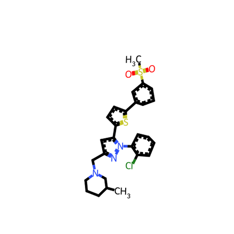 CC1CCCN(Cc2cc(-c3ccc(-c4cccc(S(C)(=O)=O)c4)s3)n(-c3ccccc3Cl)n2)C1